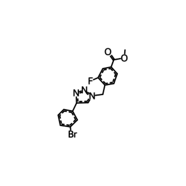 COC(=O)c1ccc(Cn2cc(-c3cccc(Br)c3)nn2)c(F)c1